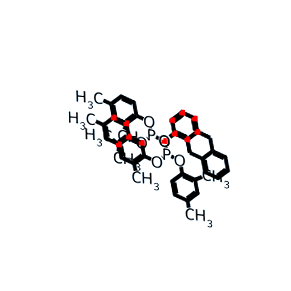 Cc1ccc(OP(Oc2ccc(C)cc2C)Oc2cccc3c2C2c4ccccc4C3c3cccc(OP(Oc4ccc(C)cc4C)Oc4ccc(C)cc4C)c32)c(C)c1